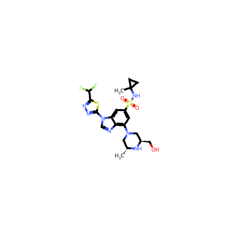 C[C@@H]1CN(c2cc(S(=O)(=O)NC3(C)CC3)cc3c2ncn3-c2nnc(C(F)F)s2)C[C@@H](CO)N1